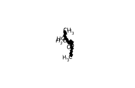 CCCCCCC(=O)OC1CCC(C=C[C@@](C)(O)CCCCC)C1